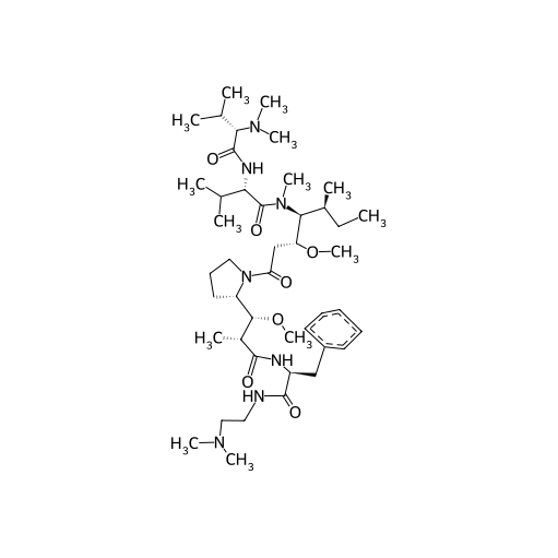 CC[C@H](C)[C@@H]([C@@H](CC(=O)N1CCC[C@H]1[C@H](OC)[C@@H](C)C(=O)N[C@@H](Cc1ccccc1)C(=O)NCCN(C)C)OC)N(C)C(=O)[C@@H](NC(=O)[C@H](C(C)C)N(C)C)C(C)C